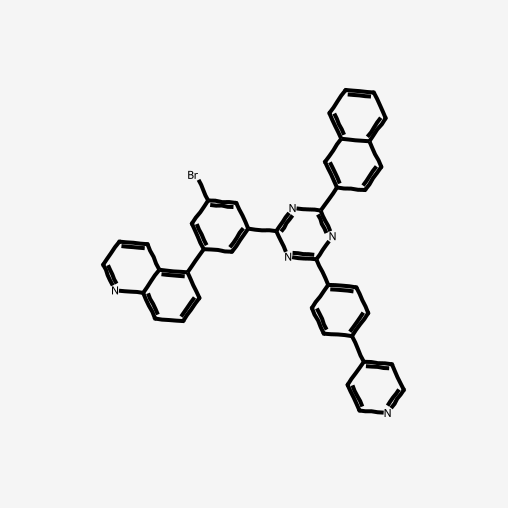 Brc1cc(-c2nc(-c3ccc(-c4ccncc4)cc3)nc(-c3ccc4ccccc4c3)n2)cc(-c2cccc3ncccc23)c1